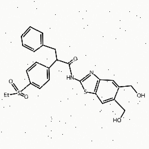 CCS(=O)(=O)c1ccc(C(Cc2ccccc2)C(=O)Nc2nc3cc(CO)c(CO)cc3s2)cc1